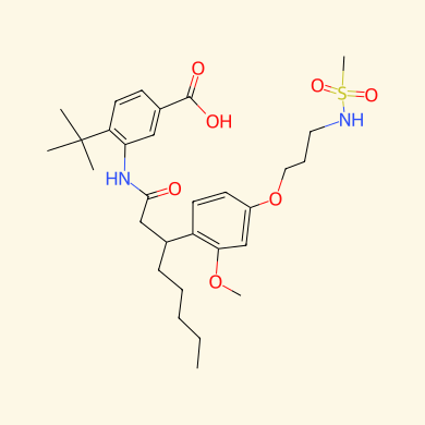 CCCCCC(CC(=O)Nc1cc(C(=O)O)ccc1C(C)(C)C)c1ccc(OCCCNS(C)(=O)=O)cc1OC